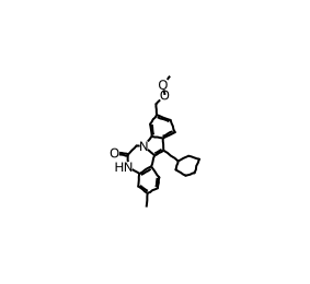 COOCc1ccc2c(C3CCCCC3)c3n(c2c1)CC(=O)Nc1cc(C)ccc1-3